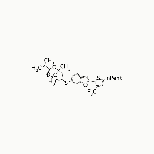 C=C(C)C(=O)OC(C)(C)CC(C)Sc1ccc2cc(-c3sc(CCCCC)cc3C(F)(F)F)oc2c1